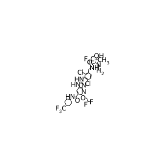 CC(O)(C(N)C(=O)NCc1ccc(Cl)c(Nc2nc3nc(OCC(F)F)c(C(=O)N[C@H]4CC[C@H](C(F)(F)F)CC4)cc3[nH]2)c1Cl)C(F)(F)F